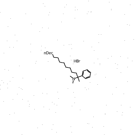 Br.CCCCCCCCCCCCCCCCCCC(C)(c1ccccc1)N(C)C